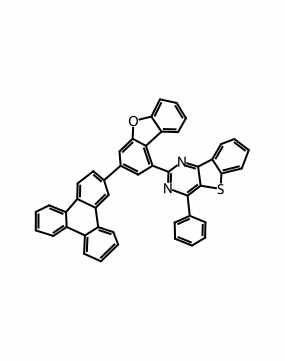 c1ccc(-c2nc(-c3cc(-c4ccc5c6ccccc6c6ccccc6c5c4)cc4oc5ccccc5c34)nc3c2sc2ccccc23)cc1